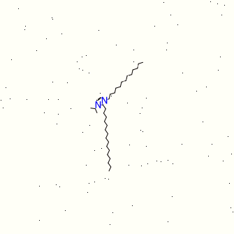 CCCCCCCCCCCCCCCCC1N(CCCCCCCCCCCCC)C=CN1C(C)C